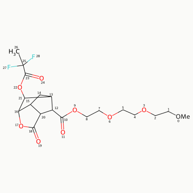 COCCOCCOCCOC(=O)C1C2CC3C(OC(=O)C31)C2OC(=O)C(C)(F)F